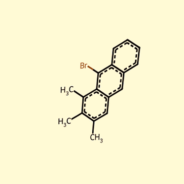 Cc1cc2cc3ccccc3c(Br)c2c(C)c1C